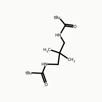 CC(C)(CNC(=O)C(C)(C)C)CNC(=O)C(C)(C)C